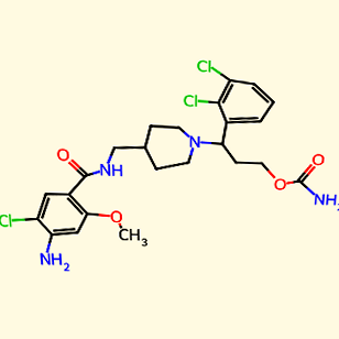 COc1cc(N)c(Cl)cc1C(=O)NCC1CCN(C(CCOC(N)=O)c2cccc(Cl)c2Cl)CC1